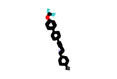 CC[C@H]1CC[C@H](/C=C/C#C[C@H]2CC[C@H](c3ccc(OC(F)F)cc3)CC2)CC1